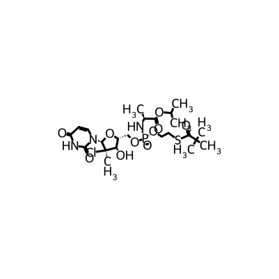 CC(C)OC(=O)[C@H](C)N[P@](=O)(OCCSC(=O)C(C)(C)C)OC[C@H]1O[C@@H](n2ccc(=O)[nH]c2=O)[C@](C)(Cl)[C@@H]1O